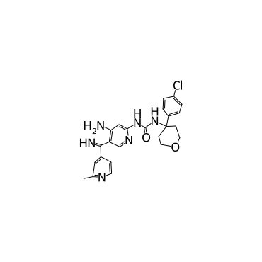 Cc1cc(C(=N)c2cnc(NC(=O)NC3(c4ccc(Cl)cc4)CCOCC3)cc2N)ccn1